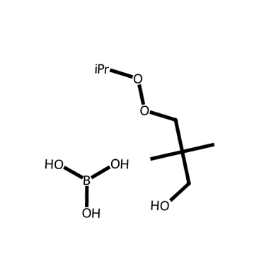 CC(C)OOCC(C)(C)CO.OB(O)O